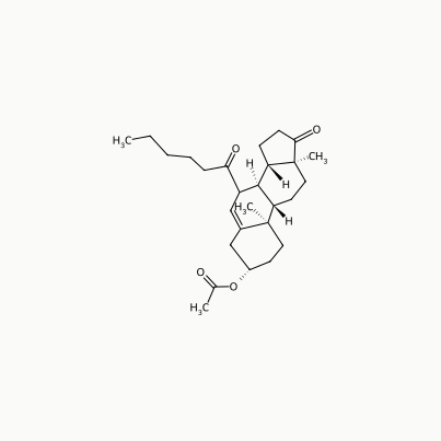 CCCCCC(=O)C1C=C2C[C@@H](OC(C)=O)CC[C@]2(C)[C@H]2CC[C@]3(C)C(=O)CC[C@H]3[C@H]12